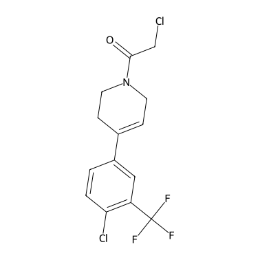 O=C(CCl)N1CC=C(c2ccc(Cl)c(C(F)(F)F)c2)CC1